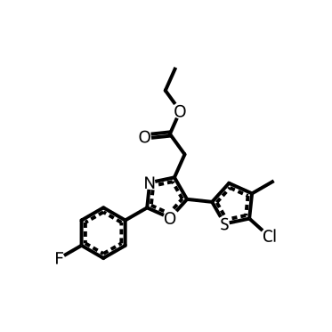 CCOC(=O)Cc1nc(-c2ccc(F)cc2)oc1-c1cc(C)c(Cl)s1